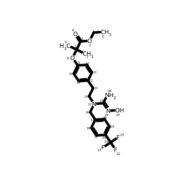 CCOC(=O)C(C)(C)Oc1ccc(CCN(Cc2ccc(C(F)(F)F)cc2)/C(N)=N/O)cc1